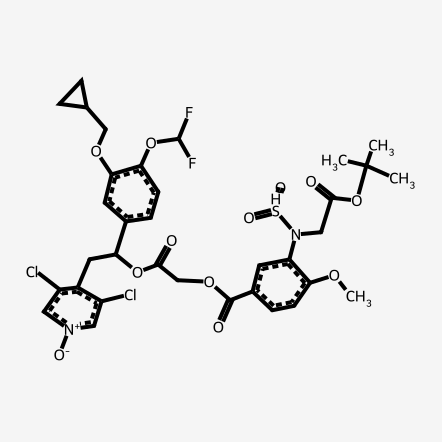 COc1ccc(C(=O)OCC(=O)OC(Cc2c(Cl)c[n+]([O-])cc2Cl)c2ccc(OC(F)F)c(OCC3CC3)c2)cc1N(CC(=O)OC(C)(C)C)[SH](=O)=O